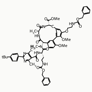 COC(=O)[C@@H]1Cc2cc(OCCNC(=O)OCc3ccccc3)c(OC)c(c2)-c2cc(ccc2OC)[C@H](N(C)C(=O)[C@H](CCNC(=O)OCc2ccccc2)NC(=O)c2c(C)nc(-c3ccc(C(C)(C)C)cc3)nc2C)C(=O)N[C@@H](C)C(=O)N1